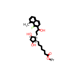 Cc1cccc2ccc(C(O)CC[C@@H]3[C@@H](CCCCCCC(=O)OC(C)C)[C@@H](O)C[C@H]3O)c(F)c12